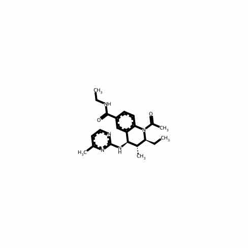 CCNC(=O)c1ccc2c(c1)[C@H](Nc1nccc(C)n1)[C@@H](C)[C@H](CC)N2C(C)=O